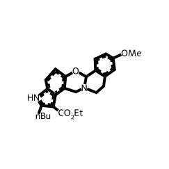 CCCCc1[nH]c2ccc3c(c2c1C(=O)OCC)CN1CCc2cc(OC)ccc2C1O3